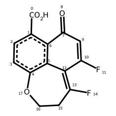 O=C(O)c1ccc2c3c1C(=O)C=C(F)C3=C(F)CCO2